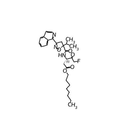 CCCCCCCCOC(=O)C[C@H](NC(=O)C1(C(C)C)CC(c2nccc3ccccc23)=NO1)C(=O)CF